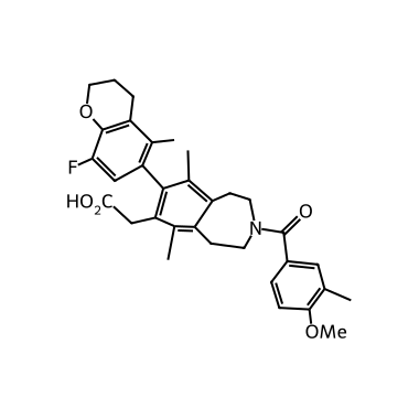 COc1ccc(C(=O)N2CCc3c(C)c(CC(=O)O)c(-c4cc(F)c5c(c4C)CCCO5)c(C)c3CC2)cc1C